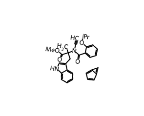 C#CN(C(=O)c1ccccc1OC(C)C)C(C)(Cc1c[nH]c2ccccc12)C(=O)OC.c1cc2cc-2c1